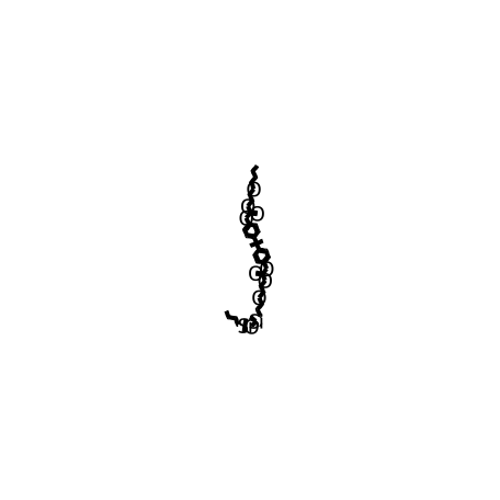 CCCCOCCOC(=O)Oc1ccc(C(C)(C)c2ccc(OC(=O)OCCOCCC[Si](C)(C)O[Si](C)(C)CCCC)cc2)cc1